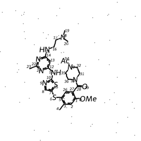 COc1cc(C)c(Sc2cnc(Nc3cc(NCCN(C)C)nc(C)n3)s2)cc1C(=O)N1CCN(C(C)=O)CC1